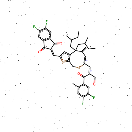 C=C1/C=C(/C=C(/C=O)C(=O)c2cc(F)c(F)cc2C)SCc2sc(C=C3C(=O)c4cc(F)c(F)cc4C3=O)cc2C1(CC(C)CC)CC(C)CC